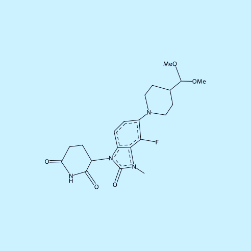 COC(OC)C1CCN(c2ccc3c(c2F)n(C)c(=O)n3C2CCC(=O)NC2=O)CC1